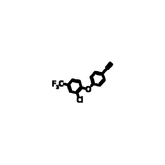 C#Cc1ccc(Oc2ccc(C(F)(F)F)cc2Cl)cc1